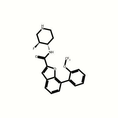 O=C(N[C@H]1CCNC[C@@H]1F)c1cc2cccc(-c3ccccc3OC(F)(F)F)c2o1